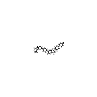 Ic1ccc(-c2ccc(-c3ccc4ccc(-c5ccc(-c6ccc7oc8ccccc8c7c6)cc5)cc4c3)cc2)cc1